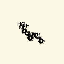 Cc1c(Cc2ccc(C(=O)NO)cc2)c2ccccc2n1CC1CCN(CC2(F)CCCCC2)CC1